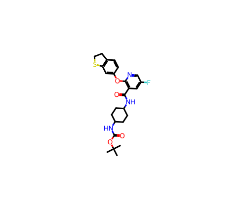 CC(C)(C)OC(=O)NC1CCC(NC(=O)c2cc(F)cnc2Oc2ccc3c(c2)SCC3)CC1